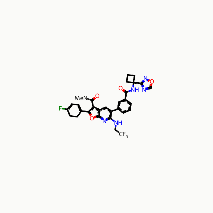 CNC(=O)c1c(C2=CC=C(F)CC2)oc2nc(NCC(F)(F)F)c(-c3cccc(C(=O)NC4(c5ncon5)CCC4)c3)cc12